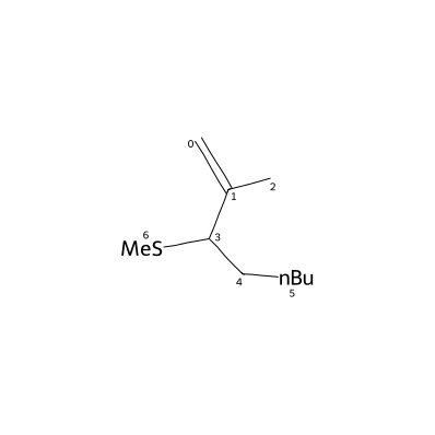 C=C(C)C(CCCCC)SC